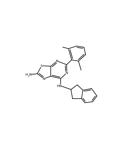 Cc1cccc(C)c1-c1nc(NC2Cc3ccccc3C2)c2nc(N)sc2n1